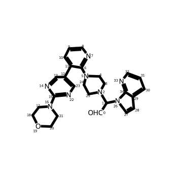 O=CC(N1CCN(c2ncccc2-c2cnc(N3CCOCC3)nc2)CC1)n1ccc2cccnc21